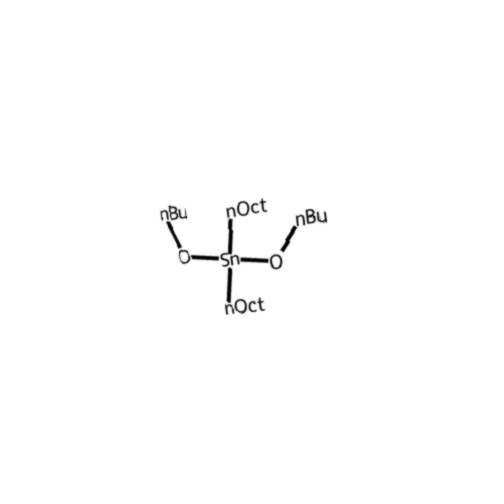 CCCCCCC[CH2][Sn]([CH2]CCCCCCC)([O]CCCC)[O]CCCC